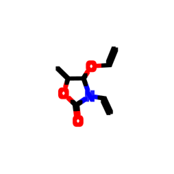 C=COC1C(C)OC(=O)N1C=C